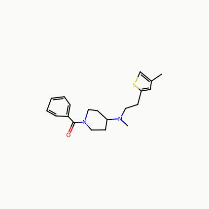 Cc1csc(CCN(C)C2CCN(C(=O)c3ccccc3)CC2)c1